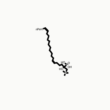 CCCCC/C=C\CCCCCCCCCC/C=C\CCCC(O)(C[N+](C)(C)C)P(=O)(O)O